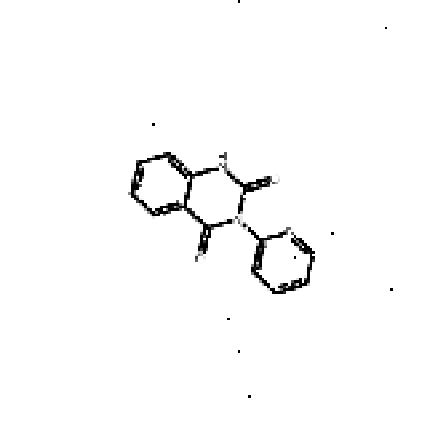 O=c1[nH]c2ccccc2c(=O)n1-c1cc[c]cn1